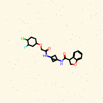 O=C(COC1CCC(Cl)C(F)C1)NC12CC(NC(=O)C3COc4ccccc43)(C1)C2